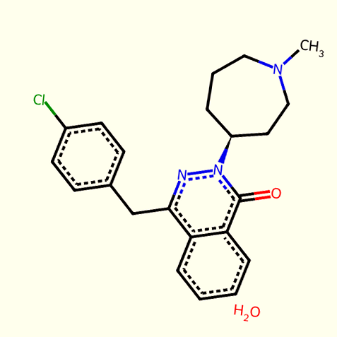 CN1CCC[C@H](n2nc(Cc3ccc(Cl)cc3)c3ccccc3c2=O)CC1.O